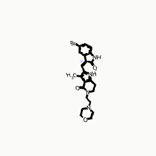 Cc1c(/C=C2\C(=O)Nc3ccc(Br)cc32)[nH]c2c1C(=O)N(CCN1CCOCC1)CC2